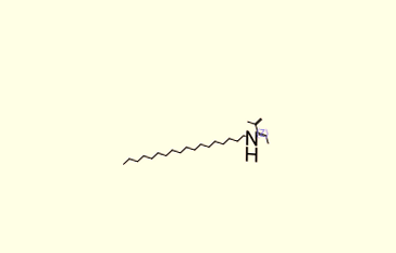 C=C(C)/C(=C/C)NCCCCCCCCCCCCCCCCCC